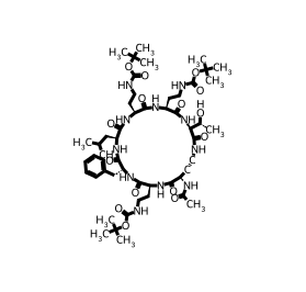 CC(=O)N[C@H]1CCNC(=O)[C@H]([C@@H](C)O)NC(=O)[C@H](CCNC(=O)OC(C)(C)C)NC(=O)[C@H](CCNC(=O)OC(C)(C)C)NC(=O)[C@H](CC(C)C)NC(=O)[C@@H](Cc2ccccc2)NC(=O)[C@H](CCNC(=O)OC(C)(C)C)NC1=O